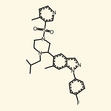 Cc1cc2c(cnn2-c2ccc(F)cc2)cc1C1CN(S(=O)(=O)c2cnccc2C)CCN1CC(C)C